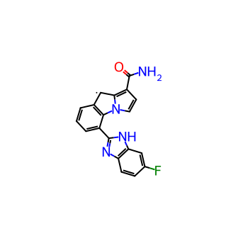 NC(=O)c1ccn2c1[CH]c1cccc(-c3nc4ccc(F)cc4[nH]3)c1-2